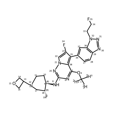 [2H]C([2H])([2H])Oc1nc(N[C@@H]2CCN(C3COC3)C[C@H]2F)nn2cc(F)c(-c3ccc4nnn(CCF)c4c3)c12